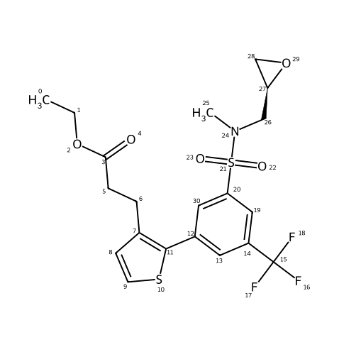 CCOC(=O)CCc1ccsc1-c1cc(C(F)(F)F)cc(S(=O)(=O)N(C)C[C@H]2CO2)c1